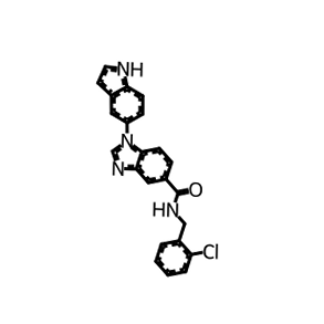 O=C(NCc1ccccc1Cl)c1ccc2c(c1)ncn2-c1ccc2[nH]ccc2c1